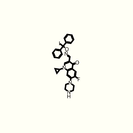 O=c1c(/C=N/OC(I)(c2ccccc2)c2ccccc2)cn(C2CC2)c2cc(N3CCNCC3)c(F)cc12